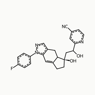 N#Cc1ccnc(C(O)C[C@]2(O)CCC3=Cc4c(cnn4-c4ccc(F)cc4)CC32)c1